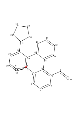 O=Cc1cccc(C=O)c1-c1ccccc1-c1ccccc1C1CCCC1